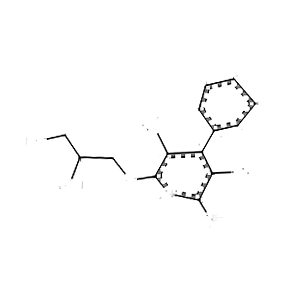 N#Cc1c(N)nc(OCC(O)CO)c(C#N)c1-c1ccccc1